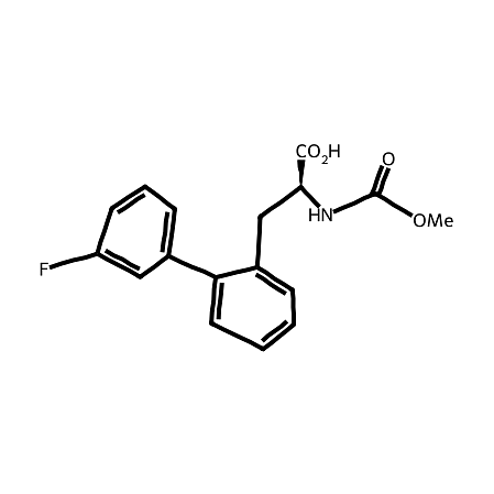 COC(=O)N[C@@H](Cc1ccccc1-c1cccc(F)c1)C(=O)O